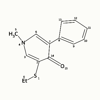 CCSc1cn(C)cc(-c2ccccc2)c1=O